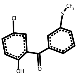 O=C(c1cccc(SC(F)(F)F)c1)c1cc(Cl)ccc1O